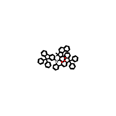 CC1(C)c2ccc3ccccc3c2-c2cccc(N(c3ccc4c(c3)C(c3ccccc3)(c3ccccc3)c3ccccc3-4)c3ccccc3-c3ccc4c(c3)-c3ccccc3C4(c3ccccc3)c3ccccc3)c21